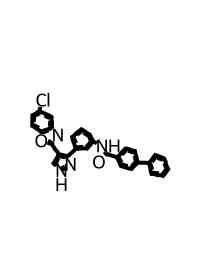 O=C(Nc1cccc(-c2n[nH]cc2-c2nc3cc(Cl)ccc3o2)c1)c1ccc(-c2ccccc2)cc1